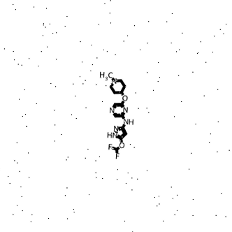 CN1CCC(Oc2cncc(Nc3cc(OC(F)F)[nH]n3)n2)CC1